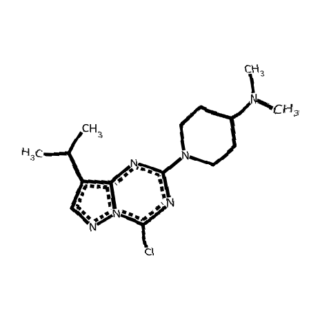 CC(C)c1cnn2c(Cl)nc(N3CCC(N(C)C)CC3)nc12